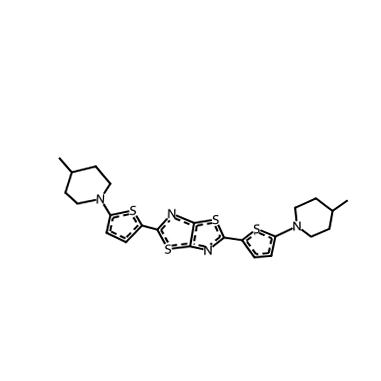 CC1CCN(c2ccc(-c3nc4sc(-c5ccc(N6CCC(C)CC6)s5)nc4s3)s2)CC1